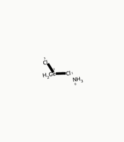 N.[Cl][GeH2][Cl]